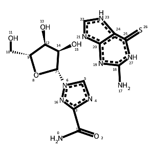 NC(=O)c1ncn([C@@H]2O[C@H](CO)[C@@H](O)[C@H]2O)n1.Nc1nc2nc[nH]c2c(=S)[nH]1